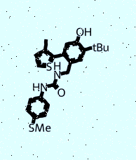 CSc1ccc(NC(=O)NCc2cc(C(C)(C)C)c(O)cc2-c2sccc2C)cc1